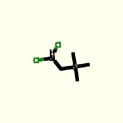 C[Si](C)(C)C[SiH](Cl)Cl